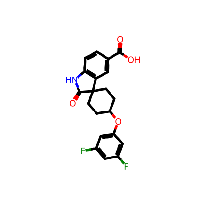 O=C(O)c1ccc2c(c1)C1(CCC(Oc3cc(F)cc(F)c3)CC1)C(=O)N2